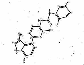 Cc1ccc(F)c(NC(=O)Nc2ccc(-c3ccc(F)c4[nH]nc(N)c34)cc2F)c1